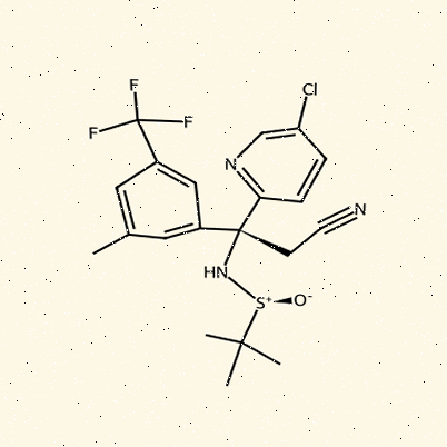 Cc1cc(C(F)(F)F)cc([C@@](CC#N)(N[S@@+]([O-])C(C)(C)C)c2ccc(Cl)cn2)c1